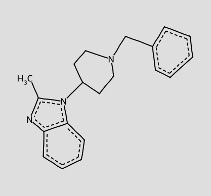 Cc1nc2ccccc2n1C1CCN(Cc2ccccc2)CC1